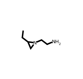 CCC1CN1CCN